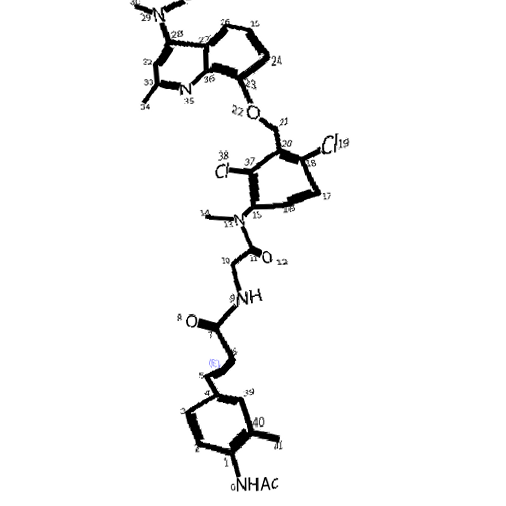 CC(=O)Nc1ccc(/C=C/C(=O)NCC(=O)N(C)c2ccc(Cl)c(COc3cccc4c(N(C)C)cc(C)nc34)c2Cl)cc1C